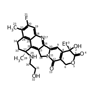 CC[C@@]1(O)C(=O)OCc2c1cc1n(c2=O)Cc2c-1nc1cc(F)c(C)c3c1c2[C@@](C)(NCCO)CC3